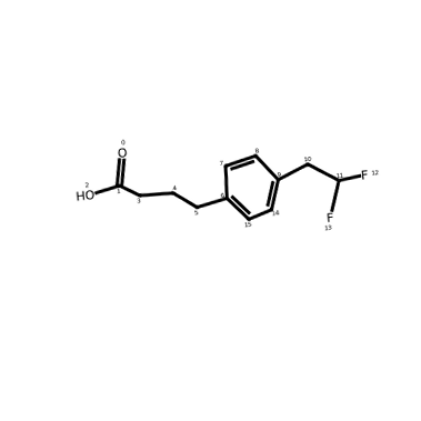 O=C(O)CCCc1ccc(CC(F)F)cc1